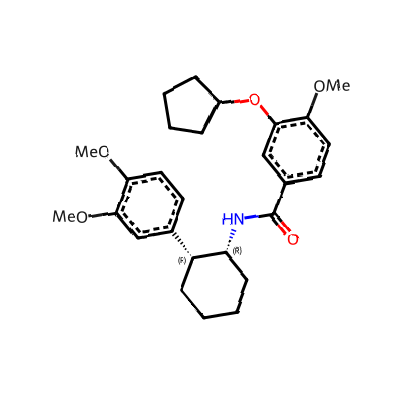 COc1ccc([C@H]2CCCC[C@H]2NC(=O)c2ccc(OC)c(OC3CCCC3)c2)cc1OC